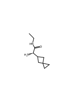 CCNC(=O)[C@H](N)C1CC2(CC2)C1